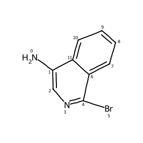 Nc1cnc(Br)c2ccccc12